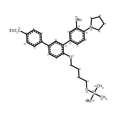 CCOC(=O)c1ccc(-c2ccc(OCCCCO[Si](C)(C)C(C)(C)C)c(-c3ccc(N4CCCC4)c(C(C)(C)C)c3)c2)cc1